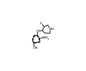 N#Cc1ccc(OC2CCNCC2F)c([N+](=O)[O-])c1